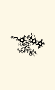 C#CCOc1cc(C)c(C[C@H](NC(=O)[C@H](CC)N(C)C(=O)OC(C)(C)C)C(=O)N2CC(C)(C)c3ncc(Cc4cc(F)c(F)cc4F)cc32)c(C)c1